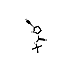 CC(C)(C)OC(=O)[C@@H]1CC[C@H](C#N)N1